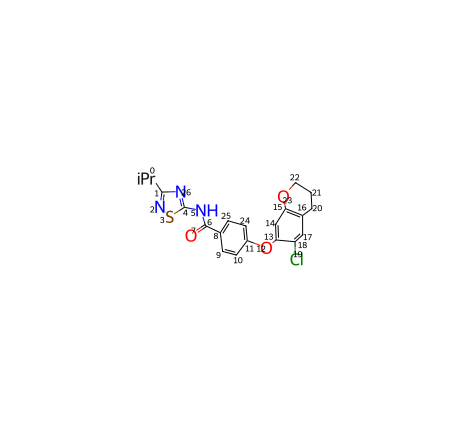 CC(C)c1nsc(NC(=O)c2ccc(Oc3cc4c(cc3Cl)CCCO4)cc2)n1